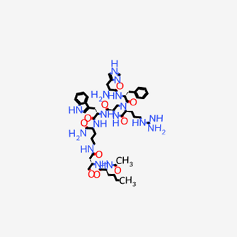 CCCC[C@H](NC(C)=O)C(=O)N[C@H](C=O)CC(=O)NCCCC(NC(=O)[C@H](Cc1c[nH]c2ccccc12)NC(=O)[C@H]1CN(C(=O)[C@@H](Cc2ccccc2)NC(=O)[C@@H](N)Cc2c[nH]cn2)[C@@H](CCCNC(=N)N)C(=O)N1)C(N)=O